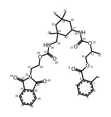 Cc1ccccc1C(=O)OCC(C)OC(=O)NC1CC(C)(C)CC(C)(CNC(=O)OCCN2C(=O)c3ccccc3C2=O)C1